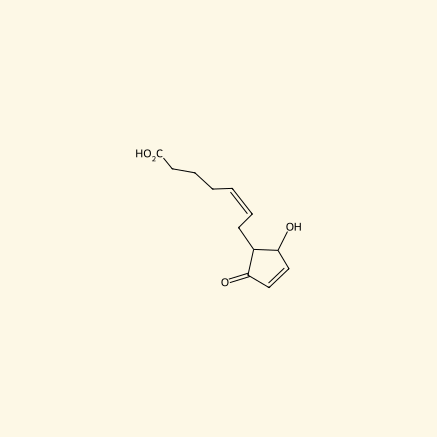 O=C(O)CCC/C=C\CC1C(=O)C=CC1O